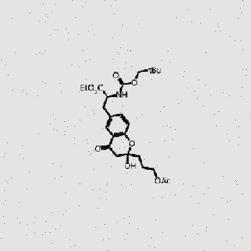 CCOC(=O)[C@H](Cc1ccc2c(c1)C(=O)CC(O)(CCCOC(C)=O)O2)NC(=O)OCC(C)(C)C